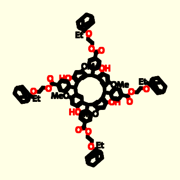 CCC1(OCCOC(=O)c2ccc(C3c4cc(c(OC)cc4O)C(c4ccc(C(=O)OCCOC5(CC)C6CC7CC(C6)CC5C7)cc4)c4cc(c(OC)cc4O)C(c4ccc(C(=O)OCCOC5(CC)C6CC7CC(C6)CC5C7)cc4)c4cc(c(OC)cc4O)C(c4ccc(C(=O)OCCOC5(CC)C6CC7CC(C6)CC5C7)cc4)c4cc3c(OC)cc4O)cc2)C2CC3CC(C2)CC1C3